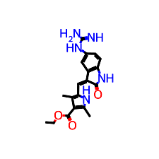 CCOC(=O)c1c(C)[nH]c(C=C2C(=O)Nc3ccc(NC(=N)N)cc32)c1C